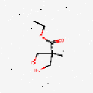 CCOC(=O)C(C)(CO)CO